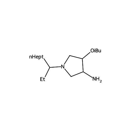 CCCCCCCC(CC)N1CC(N)C(OCC(C)C)C1